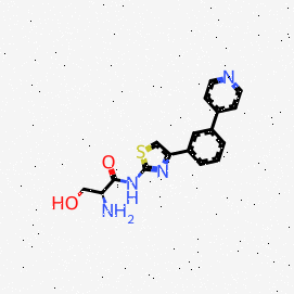 N[C@@H](CO)C(=O)Nc1nc(-c2cccc(-c3ccncc3)c2)cs1